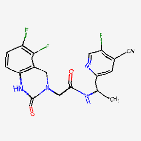 CC(NC(=O)CN1Cc2c(ccc(F)c2F)NC1=O)c1cc(C#N)c(F)cn1